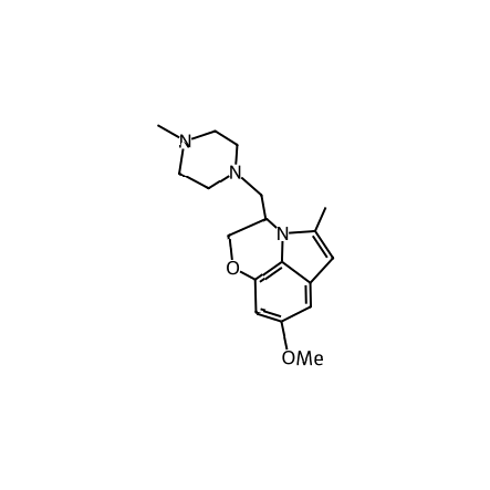 COc1cc2c3c(c1)cc(C)n3C(CN1CCN(C)CC1)CO2